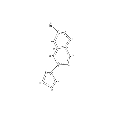 Brc1ccc2ncc(-c3cccs3)nc2c1